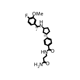 COc1cc([C@@H](C)NC2CC[C@H](c3ccc(C(=O)NCCC(N)=O)cc3)C2)ccc1F